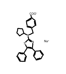 O=C([O-])c1ccc(CN(c2nc(-c3ccccc3)c(-c3ccccc3)s2)C2CCCC2)cc1.[Na+]